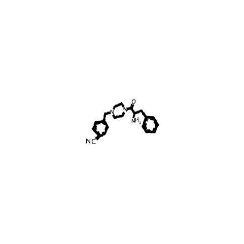 N#Cc1ccc(CN2CCN(C(=O)C(N)Cc3ccccc3)CC2)cc1